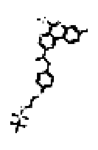 Cc1ccc2c(c1)nc(N)c1ncc(C(C)Cc3ccc(OCCO[Si](C)(C)C(C)(C)C)cc3)cc12